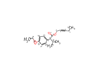 CCC#CCOC(=O)C(c1ccc(OCC)cc1)C(C)C